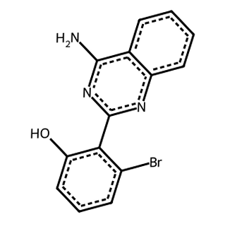 Nc1nc(-c2c(O)cccc2Br)nc2ccccc12